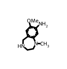 COc1cc2c(cc1N)N(C)CCNC2